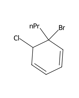 CCCC1(Br)C=CC=CC1Cl